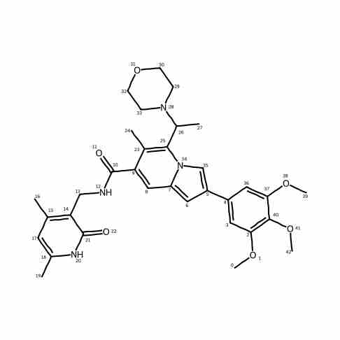 COc1cc(-c2cc3cc(C(=O)NCc4c(C)cc(C)[nH]c4=O)c(C)c(C(C)N4CCOCC4)n3c2)cc(OC)c1OC